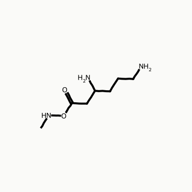 CNOC(=O)CC(N)CCCN